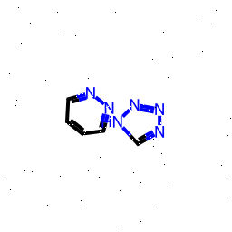 c1ccnnc1.c1nnn[nH]1